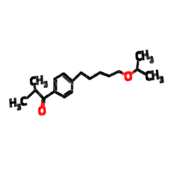 CC(C)OCCCCCc1ccc(C(=O)C(C)C)cc1